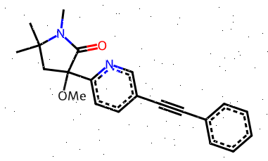 COC1(c2ccc(C#Cc3ccccc3)cn2)CC(C)(C)N(C)C1=O